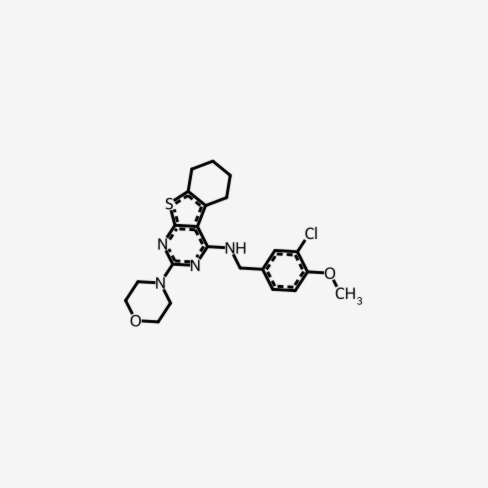 COc1ccc(CNc2nc(N3CCOCC3)nc3sc4c(c23)CCCC4)cc1Cl